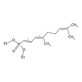 CCOP(=O)(/C=C/C=C(\C)CCC=C(C)C)OCC